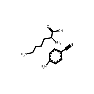 N#Cc1ccc(N)cc1.NCCCC[C@H](N)C(=O)O